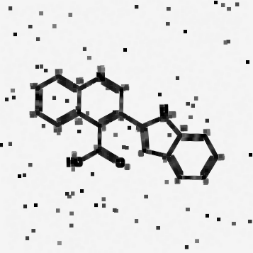 O=C(O)c1c(-c2cc3ccccc3[nH]2)cnc2ccccc12